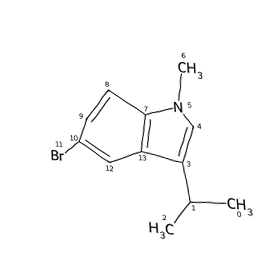 CC(C)c1cn(C)c2ccc(Br)cc12